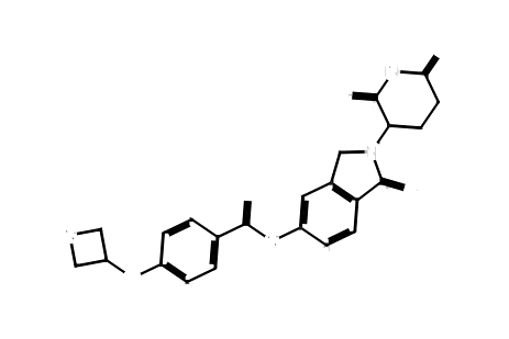 O=C1CCC(N2Cc3cc(NC(=O)c4ccc(OC5CNC5)cc4)ccc3C2=O)C(=O)N1